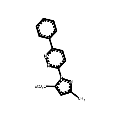 CCOC(=O)c1cc(C)nn1-c1ccc(-c2ccccc2)nn1